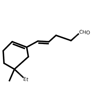 CCC1(C)CCC=C(C=CCCC=O)C1